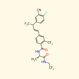 C[C@@H](NC(=O)c1ccc(/C=C/C(c2ccc(F)c(C#N)c2)C(F)(F)F)cc1C(F)(F)F)C(=O)NCC(F)(F)F